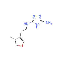 CC1COC=C1CCNc1nnc(N)[nH]1